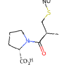 CC(CSN=O)C(=O)N1CCC[C@H]1C(=O)O